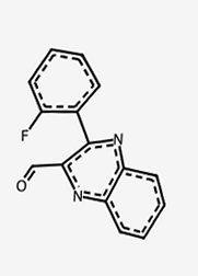 O=Cc1nc2ccccc2nc1-c1ccccc1F